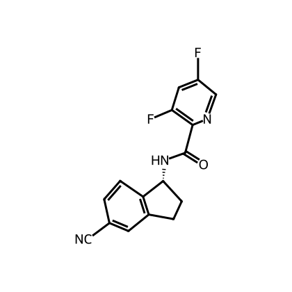 N#Cc1ccc2c(c1)CC[C@H]2NC(=O)c1ncc(F)cc1F